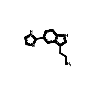 NCCc1c[nH]c2ccc(-c3ncc[nH]3)cc12